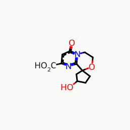 O=C(O)c1cc(=O)n2c(n1)C1(CCC(O)C1)OCC2